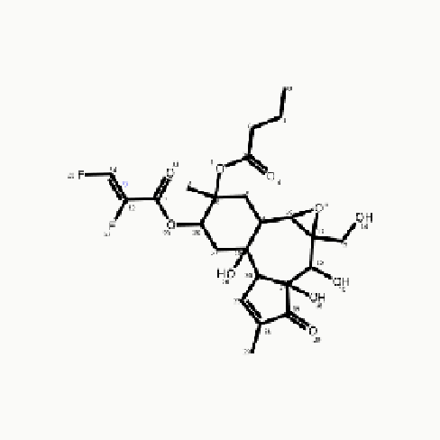 CCCC(=O)OC1(C)CC2C3OC3(CO)C(O)C3(O)C(=O)C(C)=CC3C2(O)CC1OC(=O)/C(F)=C/F